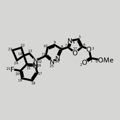 COC(=O)Oc1cnc(-c2ccc(NCC3(c4ncccc4F)CCC3)nn2)o1